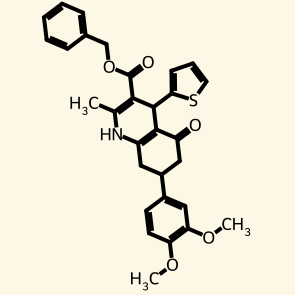 COc1ccc(C2CC(=O)C3=C(C2)NC(C)=C(C(=O)OCc2ccccc2)C3c2cccs2)cc1OC